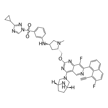 C#Cc1c(F)ccc2cccc(-c3ncc4c(N5C[C@H]6CC[C@@H](C5)N6)nc(OC[C@@H]5C[C@@H](Nc6cccc(S(=O)(=O)n7cnc(C8CC8)n7)c6)CN5C)nc4c3F)c12